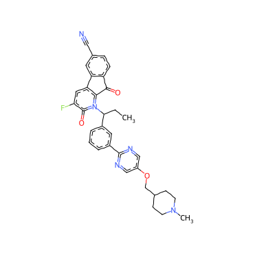 CCC(c1cccc(-c2ncc(OCC3CCN(C)CC3)cn2)c1)n1c2c(cc(F)c1=O)-c1cc(C#N)ccc1C2=O